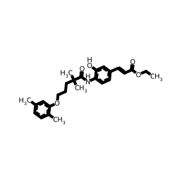 CCOC(=O)/C=C/c1ccc(NC(=O)C(C)(C)CCCOc2cc(C)ccc2C)c(O)c1